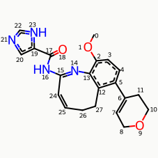 COc1ccc(C2=CCOCC2)c2c1/N=C(NC(=O)c1cnc[nH]1)\C=C/CC2